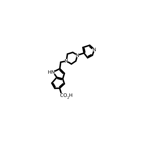 O=C(O)c1ccc2[nH]c(CN3CCN(c4ccncc4)CC3)cc2c1